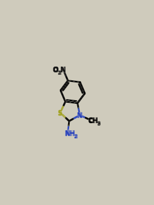 CN1c2ccc([N+](=O)[O-])cc2SC1N